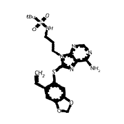 C=Cc1cc2c(cc1Sc1nc3c(N)ncnc3n1CCCNS(=O)(=O)C(C)(C)C)OCO2